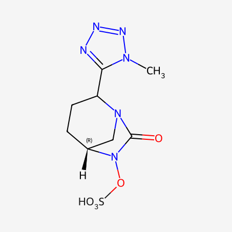 Cn1nnnc1C1CC[C@@H]2CN1C(=O)N2OS(=O)(=O)O